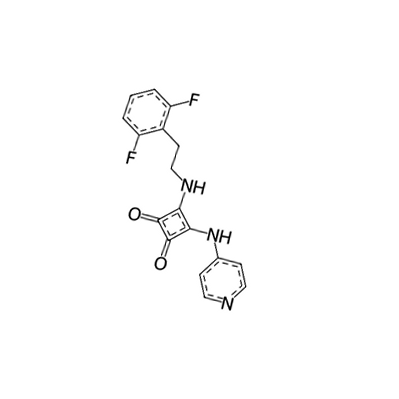 O=c1c(NCCc2c(F)cccc2F)c(Nc2ccncc2)c1=O